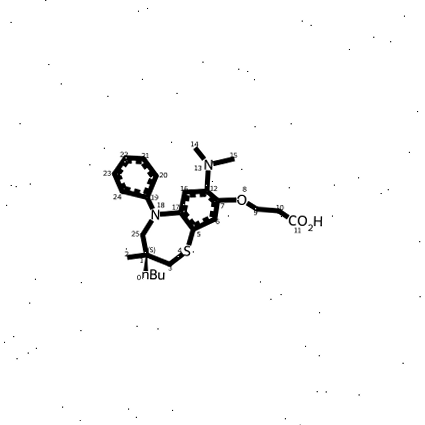 CCCC[C@]1(C)CSc2cc(OCCC(=O)O)c(N(C)C)cc2N(c2ccccc2)C1